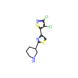 Clc1nsc(-c2csc(C3CCCNC3)n2)c1Cl